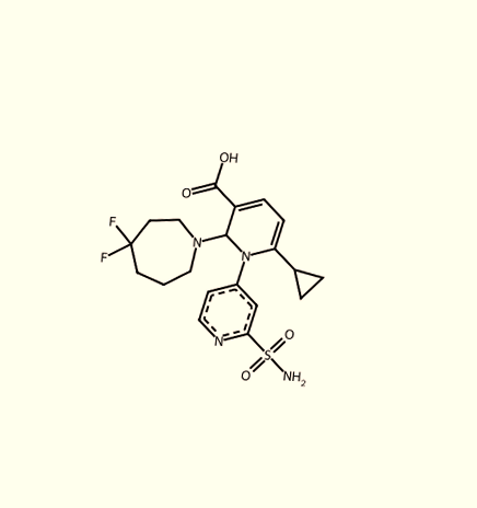 NS(=O)(=O)c1cc(N2C(C3CC3)=CC=C(C(=O)O)C2N2CCCC(F)(F)CC2)ccn1